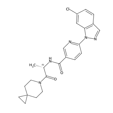 C[C@H](NC(=O)c1ccc(-n2ncc3ccc(Cl)cc32)nc1)C(=O)N1CCC2(CC1)CC2